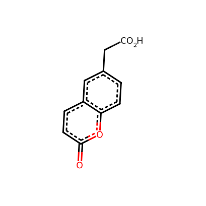 O=C(O)Cc1ccc2oc(=O)ccc2c1